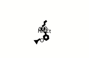 C=CCCS(=O)(=O)N[C@H](CC)c1cccc(OCC2CC2)c1